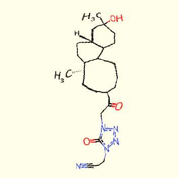 C[C@H]1CC[C@H](C(=O)Cn2nnn(CC#N)c2=O)CCCC2C3CC[C@@](C)(O)C[C@H]3CCC21